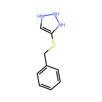 C1=C(SCc2ccccc2)NNN1